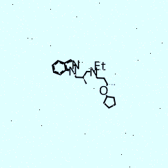 CCN(CC[C@H](C)OC1CCCC1)C[C@@H](C)Cn1ncc2ccccc21